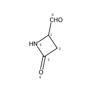 O=CC1CC(=O)N1